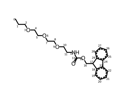 CCCOCCOCCOCCNC(=O)OCC1c2ccccc2-c2ccccc21